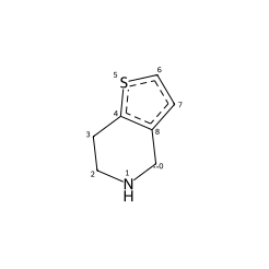 [C]1NCCc2sccc21